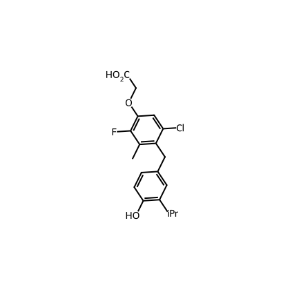 Cc1c(F)c(OCC(=O)O)cc(Cl)c1Cc1ccc(O)c(C(C)C)c1